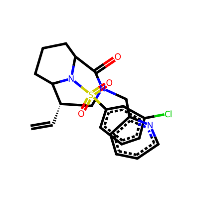 C=C[C@H]1CN(Cc2ccccn2)C(=O)C2CCCC1N2S(=O)(=O)c1cccc(Cl)c1